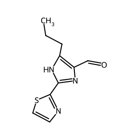 CCCc1[nH]c(-c2nccs2)nc1C=O